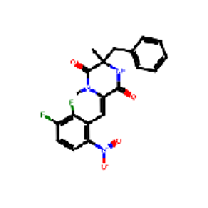 CN1C(=O)C(C)(Cc2ccccc2)NC(=O)C1=Cc1c([N+](=O)[O-])ccc(F)c1F